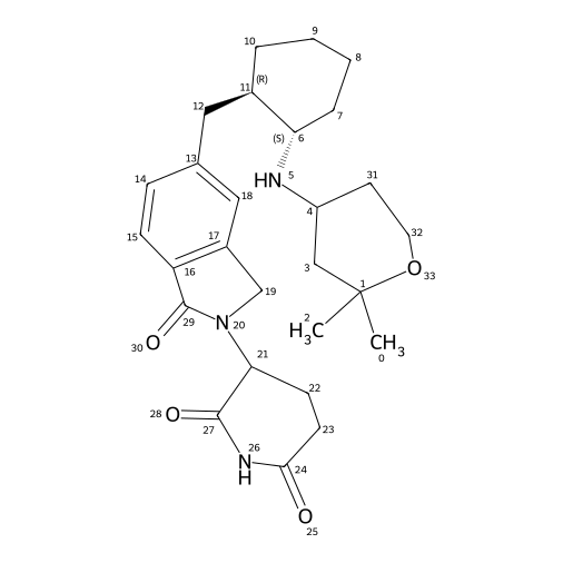 CC1(C)CC(N[C@H]2CCCC[C@@H]2Cc2ccc3c(c2)CN(C2CCC(=O)NC2=O)C3=O)CCO1